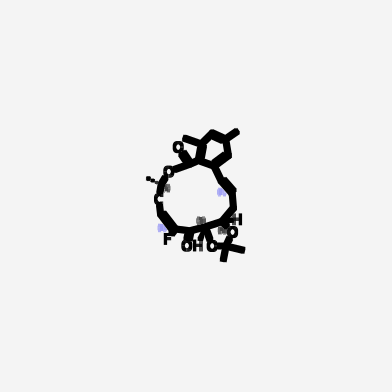 Cc1cc(C)c2c(c1)/C=C/C[C@@H]1OC(C)(C)O[C@@H]1C(=O)/C(F)=C\C[C@H](C)OC2=O